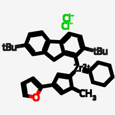 CC1C=C(c2ccco2)C=[C]1[Zr+2](=[C]1CCCCC1)[c]1c(C(C)(C)C)ccc2c1Cc1cc(C(C)(C)C)ccc1-2.[Cl-].[Cl-]